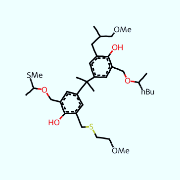 CCCCC(C)OCc1cc(C(C)(C)c2cc(COC(C)SC)c(O)c(CSCCOC)c2)cc(CC(C)COC)c1O